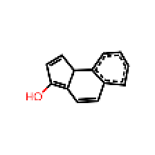 OC1=C2C=Cc3ccccc3C2C=C1